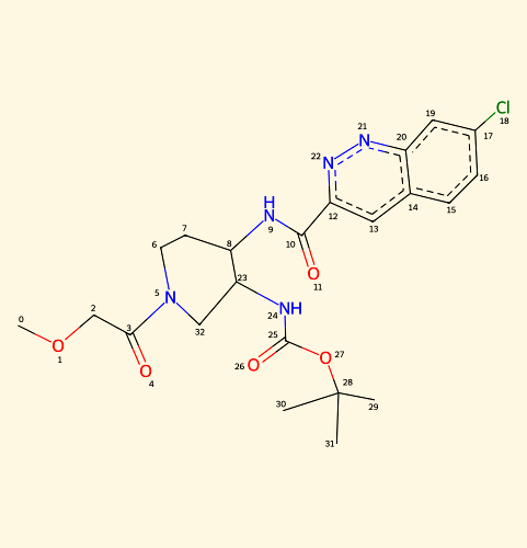 COCC(=O)N1CCC(NC(=O)c2cc3ccc(Cl)cc3nn2)C(NC(=O)OC(C)(C)C)C1